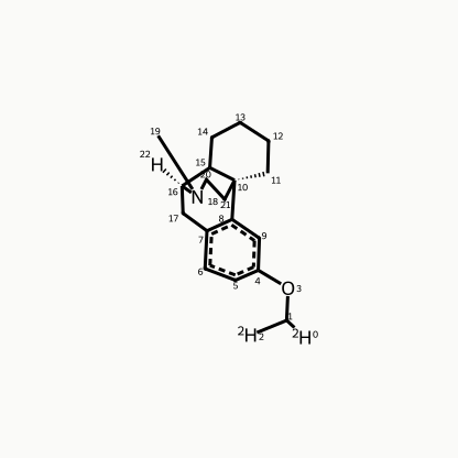 [2H]C([2H])Oc1ccc2c(c1)[C@]13CCCCC1[C@H](C2)N(C)CC3